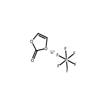 F[P-](F)(F)(F)(F)F.O=c1occo1.[Li+]